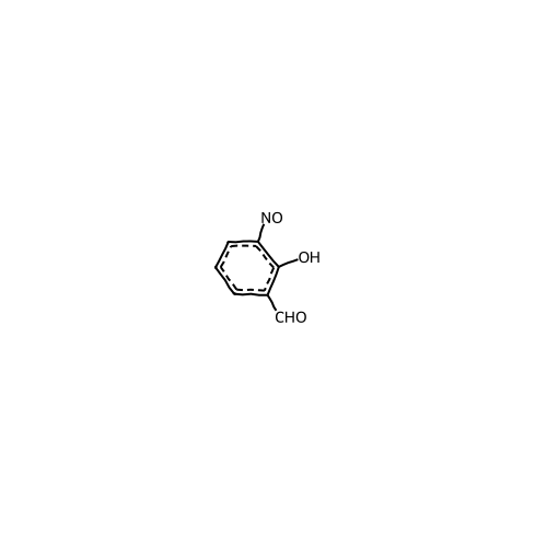 O=Cc1cccc(N=O)c1O